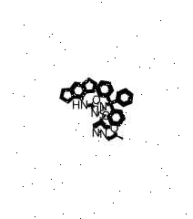 C[C@H]1Cn2ncc([S@@](=O)(=NC(=O)Nc3c4c(cc5c3CCC5)CCC4)NC(c3ccccc3)(c3ccccc3)c3ccccc3)c2O1